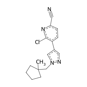 CC1(Cn2cc(-c3ccc(C#N)nc3Cl)cn2)CCCC1